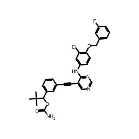 CC(C)(C)C(OC(N)=O)c1cccc(C#Cc2cncnc2Nc2ccc(OCc3cccc(F)c3)c(Cl)c2)c1